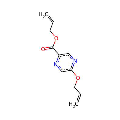 C=CCOC(=O)c1cnc(OCC=C)cn1